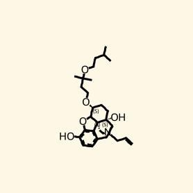 C=CCN1CC[C@]23c4c5ccc(O)c4OC2[C@@H](OCCC(C)(C)OCCC(C)C)CC[C@@]3(O)C1C5